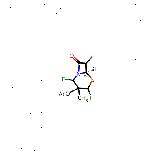 CC(=O)OC1(C)C(F)S[C@@H]2C(F)C(=O)N2C1F